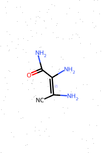 N#C/C(N)=C(/N)C(N)=O